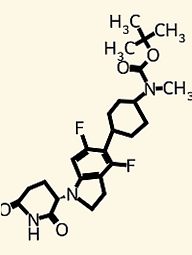 CN(C(=O)OC(C)(C)C)C1CCC(c2c(F)cc3c(c2F)CCN3[C@H]2CCC(=O)NC2=O)CC1